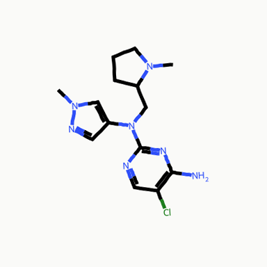 CN1CCCC1CN(c1cnn(C)c1)c1ncc(Cl)c(N)n1